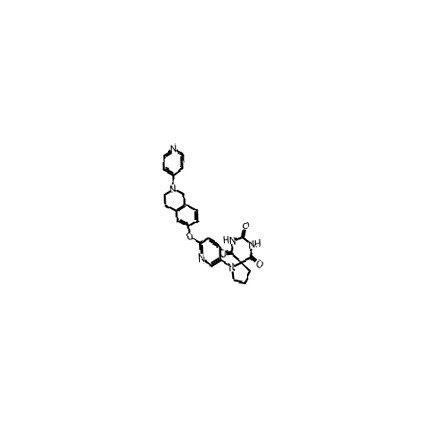 O=C1NC(=O)C2(CCCN2c2ccc(Oc3ccc4c(c3)CCN(c3ccncc3)C4)nc2)C(=O)N1